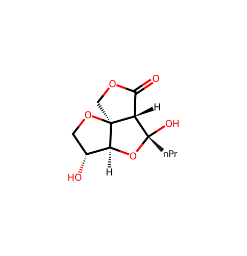 CCC[C@@]1(O)O[C@H]2[C@H](O)CO[C@]23COC(=O)[C@@H]31